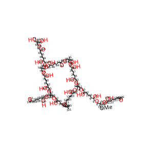 COCC(C)(COCC(O)CCCCC(O)COCC(C)(COCC(O)CCCCC(O)COCC(C)(CO)COCC(=O)CCCCC(O)COCC(C)(COCC(O)CCCCC(=O)COCC(C)(CO)CO)COCC(O)CCCCC(O)COCC(C)(COCC(O)CCCCC1CC1)COCC(O)CCCCC1CO1)COCC(O)CCCCC1CO1)COCC(O)CCCCC1CO1